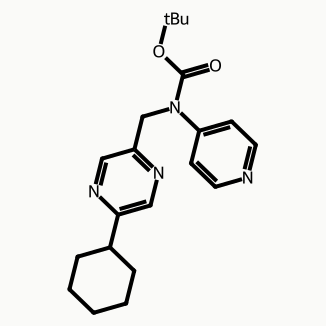 CC(C)(C)OC(=O)N(Cc1cnc(C2CCCCC2)cn1)c1ccncc1